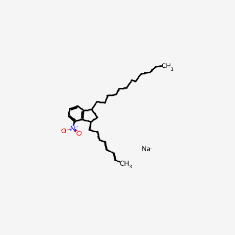 CCCCCCCCCCCCC1CC(CCCCCCCC)c2c1cccc2[N+](=O)[O-].[Na]